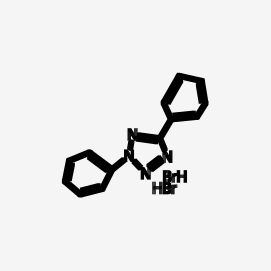 Br.Br.c1ccc(-c2nnn(-c3ccccc3)n2)cc1